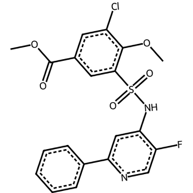 COC(=O)c1cc(Cl)c(OC)c(S(=O)(=O)Nc2cc(-c3ccccc3)ncc2F)c1